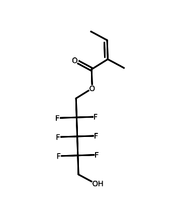 CC=C(C)C(=O)OCC(F)(F)C(F)(F)C(F)(F)CO